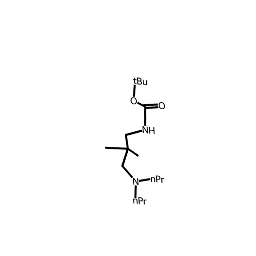 CCCN(CCC)CC(C)(C)CNC(=O)OC(C)(C)C